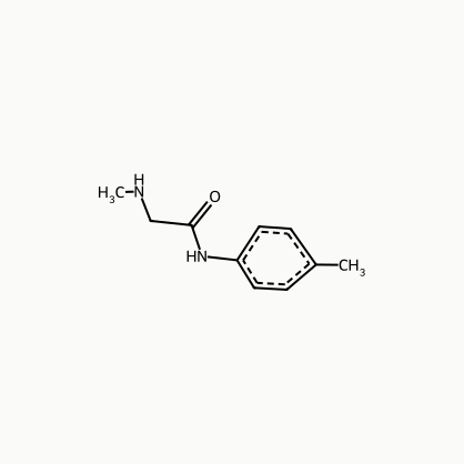 CNCC(=O)Nc1ccc(C)cc1